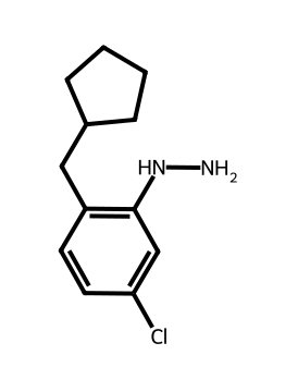 NNc1cc(Cl)ccc1CC1CCCC1